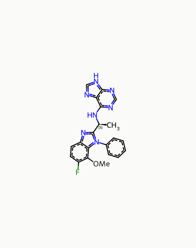 COc1c(F)ccc2nc([C@H](C)Nc3ncnc4[nH]cnc34)n(-c3ccccc3)c12